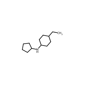 CCC1CCC(NC2CCCC2)CC1